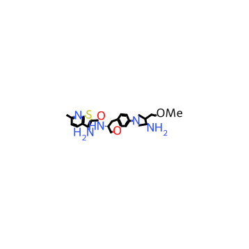 COCCC1CN(c2ccc3c(c2)OC[C@H](NC(=O)c2sc4nc(C)ccc4c2N)C3)C[C@H]1N